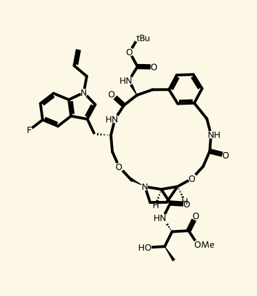 C=CCn1cc(C[C@H]2COC[N@]3CC[C@H](OCC(=O)NCc4cccc(c4)C[C@H](NC(=O)OC(C)(C)C)C(=O)N2)[C@H]3C(=O)N[C@H](C(=O)OC)[C@@H](C)O)c2cc(F)ccc21